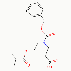 CC(C)C(=O)OCCN(CCC(=O)O)C(=O)OCc1ccccc1